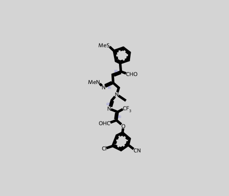 CN/N=C(\C=C(/C=O)c1cccc(SC)c1)CN(C)/C=N\C(=C(/C=O)Oc1cc(Cl)cc(C#N)c1)C(F)(F)F